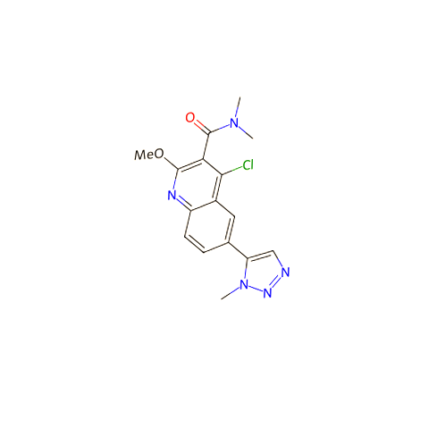 COc1nc2ccc(-c3cnnn3C)cc2c(Cl)c1C(=O)N(C)C